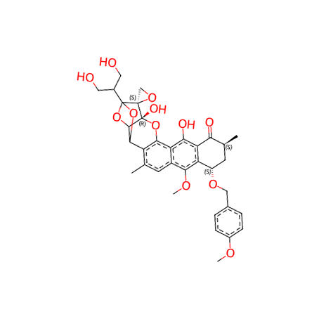 COc1ccc(CO[C@H]2C[C@H](C)C(=O)c3c2c(OC)c2cc(C)c4c(c2c3O)O[C@]2(O)C3OC(C(CO)CO)(OC43)[C@]23CO3)cc1